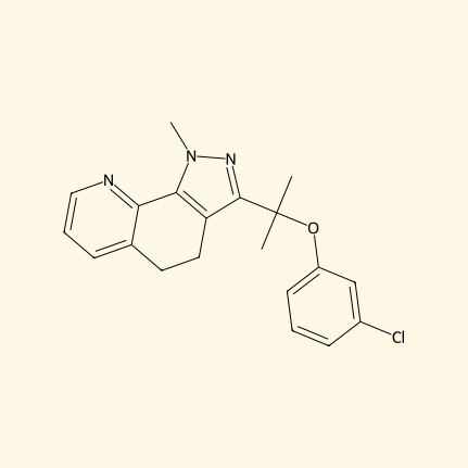 Cn1nc(C(C)(C)Oc2cccc(Cl)c2)c2c1-c1ncccc1CC2